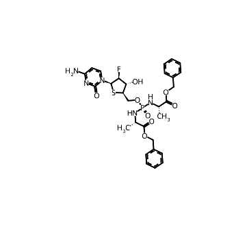 C[C@H](NP(=O)(N[C@@H](C)C(=O)OCc1ccccc1)OC[C@H]1S[C@@H](n2ccc(N)nc2=O)[C@@H](F)[C@@H]1O)C(=O)OCc1ccccc1